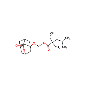 CCC(C)(CC(C)C)C(=O)OCOC12CC3CC(C1)OC(=O)C(C3)C2